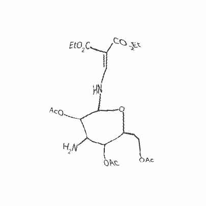 CCOC(=O)C(=CNC1OC(COC(C)=O)C(OC(C)=O)C(N)C1OC(C)=O)C(=O)OCC